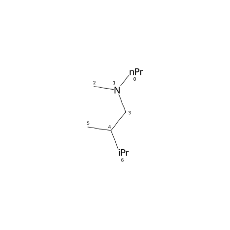 CCCN(C)CC(C)C(C)C